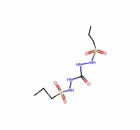 CCCS(=O)(=O)NNC(=O)NNS(=O)(=O)CCC